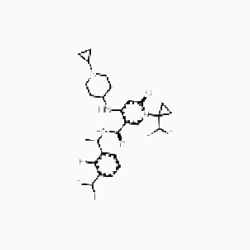 C[C@@H](NC(=O)c1cn(C2(C(F)F)CC2)c(=O)cc1NC1CCN(C2CC2)CC1)c1cccc(C(F)F)c1F